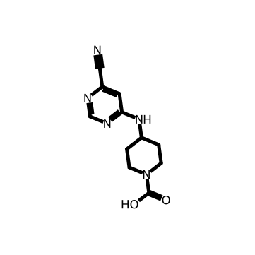 N#Cc1cc(NC2CCN(C(=O)O)CC2)ncn1